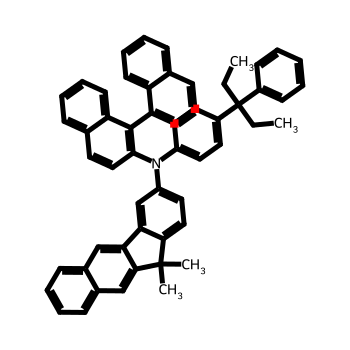 CCC(CC)(c1ccccc1)c1ccc(N(c2ccc3c(c2)-c2cc4ccccc4cc2C3(C)C)c2ccc3ccccc3c2-c2cccc3ccccc23)cc1